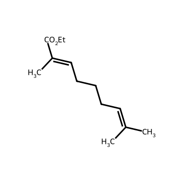 CCOC(=O)C(C)=CCCCC=C(C)C